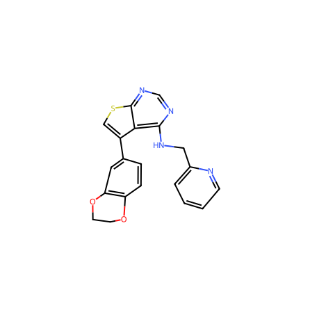 c1ccc(CNc2ncnc3scc(-c4ccc5c(c4)OCCO5)c23)nc1